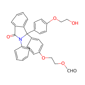 O=COCCOc1ccc(C2(c3ccc(OCCO)cc3)c3ccccc3C(=O)N2c2ccccc2)cc1